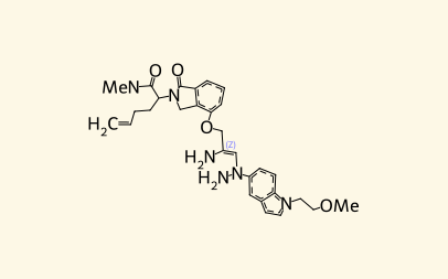 C=CCCC(C(=O)NC)N1Cc2c(OC/C(N)=C/N(N)c3ccc4c(ccn4CCOC)c3)cccc2C1=O